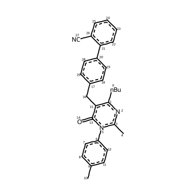 CCCCc1nc(C)n(-c2ccc(C)cc2)c(=O)c1Cc1ccc(-c2ccccc2C#N)cc1